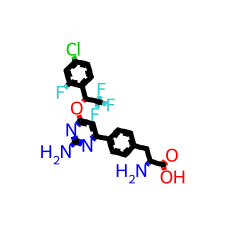 Nc1nc(OC(c2ccc(Cl)cc2F)C(F)(F)F)cc(-c2ccc(CC(N)C(=O)O)cc2)n1